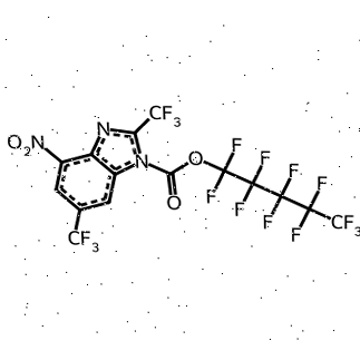 O=C(OC(F)(F)C(F)(F)C(F)(F)C(F)(F)C(F)(F)F)n1c(C(F)(F)F)nc2c([N+](=O)[O-])cc(C(F)(F)F)cc21